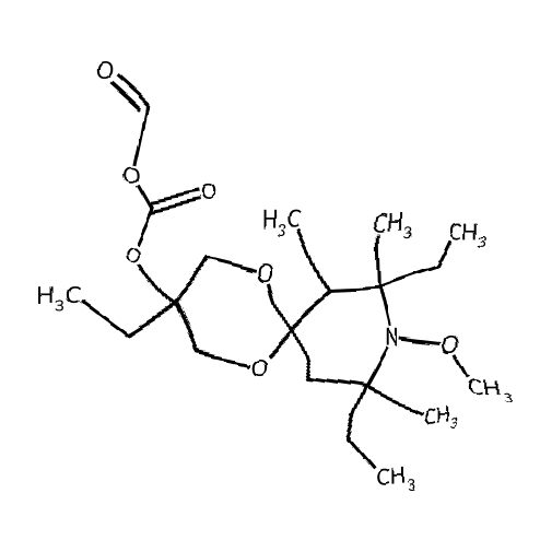 CCC1(OC(=O)OC=O)COC2(CC(C)(CC)N(OC)C(C)(CC)C2C)OC1